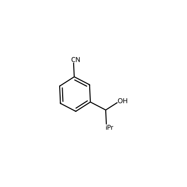 CC(C)C(O)c1cccc(C#N)c1